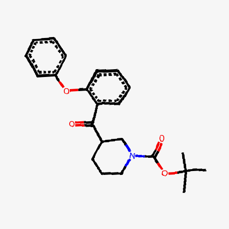 CC(C)(C)OC(=O)N1CCCC(C(=O)c2ccccc2Oc2ccccc2)C1